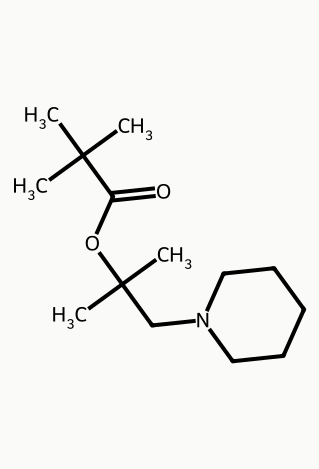 CC(C)(CN1CCCCC1)OC(=O)C(C)(C)C